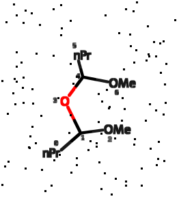 CCCC(OC)OC(CCC)OC